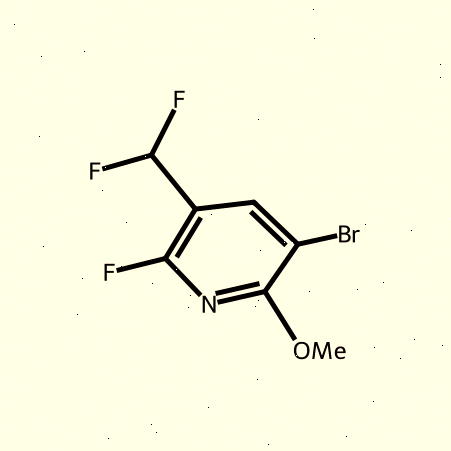 COc1nc(F)c(C(F)F)cc1Br